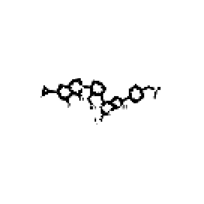 CN(C)Cc1ccc(-c2cc3c(-c4cccc(-n5ccc6cc(C7CC7)cc(F)c6c5=O)c4CO)nc(N)nc3[nH]2)cc1